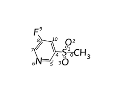 CS(=O)(=O)c1[c]ncc(F)c1